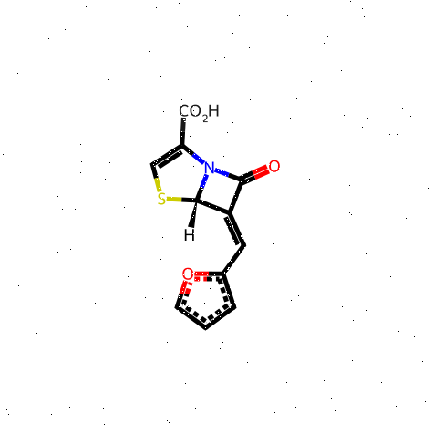 O=C(O)C1=CS[C@H]2C(=Cc3ccco3)C(=O)N12